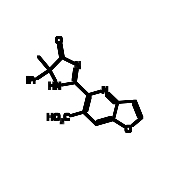 CC(C)C1(C)NC(c2nc3ccoc3cc2C(=O)O)=NC1=O